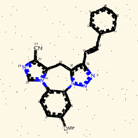 COc1ccc2c(c1)-n1nnc(/C=C/c3ccccc3)c1Cc1c(C#N)ncn1-2